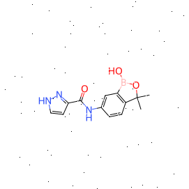 CC1(C)OB(O)c2cc(NC(=O)c3cc[nH]n3)ccc21